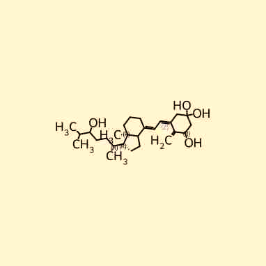 C=C1/C(=C\C=C2CCC[C@@]3(C)C2CC[C@@H]3[C@H](C)CCC(O)C(C)C)CC(O)(O)C[C@H]1O